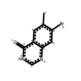 Cc1cc2c(=O)[nH]cnc2cc1Br